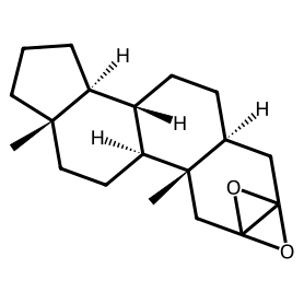 C[C@@]12CCC[C@H]1[C@@H]1CC[C@H]3CC45OC4(C[C@]3(C)[C@H]1CC2)O5